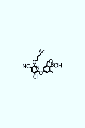 CC(=O)CCCOc1nc(Oc2cc(C)c3c(c2)COB3O)c(Cl)cc1C#N